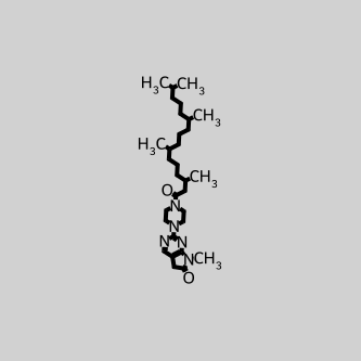 CC(C)CCCC(C)CCCC(C)CCCC(C)CC(=O)N1CCN(c2ncc3c(n2)N(C)C(=O)C3)CC1